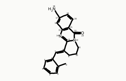 Cc1ccccc1C=C1CCCn2c1nc1cc(N)ccc1c2=O